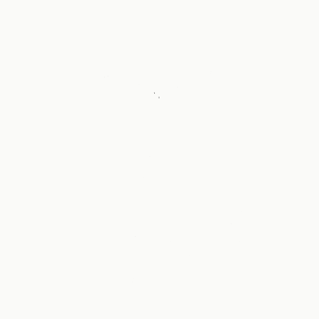 c1ccc(-c2ccc(N(c3ccc(-c4ccc(-c5ccccc5)c(-c5ccc6oc7ccccc7c6c5)c4)cc3)c3cccc(-c4ccccc4)c3)cc2)cc1